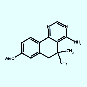 COc1ccc2c(c1)CC(C)(C)c1c(N)ncnc1-2